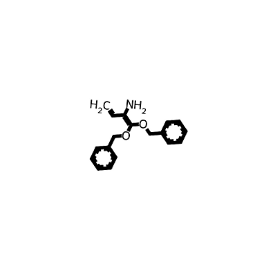 C=CC(N)=C(OCc1ccccc1)OCc1ccccc1